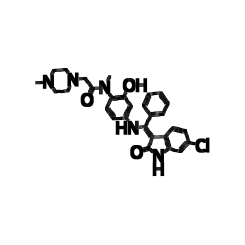 CN1CCN(CC(=O)N(C)c2ccc(N/C(=C3\C(=O)Nc4cc(Cl)ccc43)c3ccccc3)cc2O)CC1